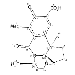 COc1c2n(cc(C(=O)O)c1=O)[C@H]1CCC[C@]13OCC[C@@H](C)N3C2=O